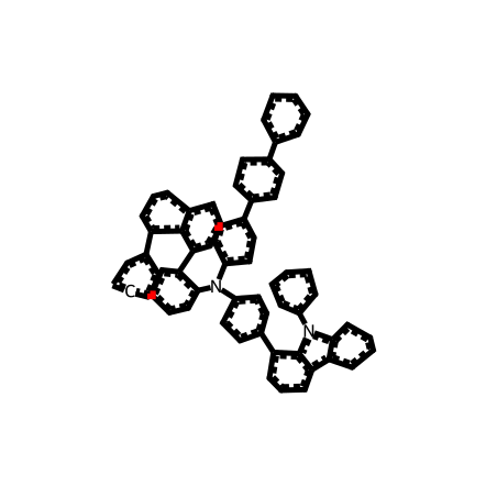 c1ccc(-c2ccc(-c3ccc(N(c4ccc(-c5cccc6c7ccccc7n(-c7ccccc7)c56)cc4)c4ccccc4-c4cccc5cccc(-c6ccccc6)c45)cc3)cc2)cc1